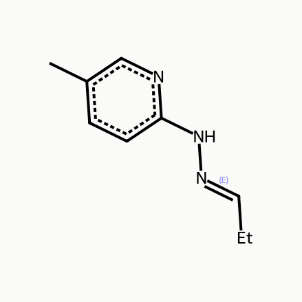 CC/C=N/Nc1ccc(C)cn1